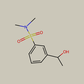 CC(O)c1cccc(S(=O)(=O)N(C)C)c1